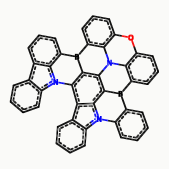 c1ccc2c(c1)B1c3cccc4c3N3c5c(cccc5B5c6c3c1c1c(c6-n3c6ccccc6c6cccc5c63)c3ccccc3n1-2)O4